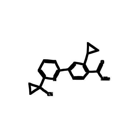 CNC(=O)c1ccc(-c2cccc(C3(C#N)CC3)n2)cc1C1CC1